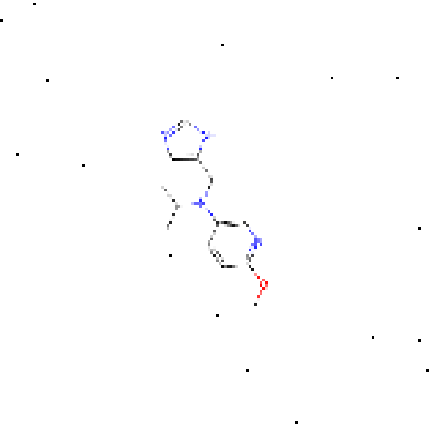 COc1ccc(N(Cc2cnc[nH]2)C(C)C)cn1